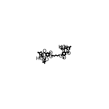 C=C1C[C@H]2[C@H](O)N(C=O)c3cc(OCCCCCOc4cc5c(cc4OC)C(=O)N4CC(=C)C[C@H]4[C@H](O)N5C(=O)OC(C)(C)C)c(OC)cc3C(=O)N2C1